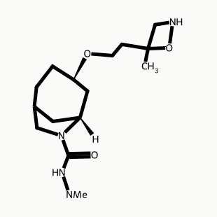 CNNC(=O)N1CC2CC[C@@H](OCCC3(C)CNO3)C[C@H]1C2